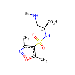 CCNC[C@H](NS(=O)(=O)c1c(C)noc1C)C(=O)O